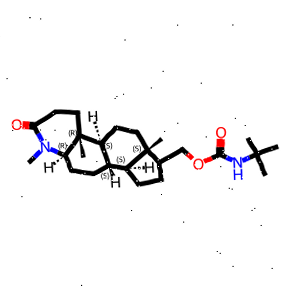 CN1C(=O)CC[C@]2(C)[C@H]3CC[C@]4(C)C(COC(=O)NC(C)(C)C)CC[C@H]4[C@@H]3CC[C@@H]12